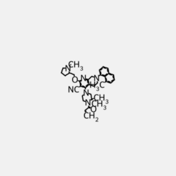 C=CC(=O)N1CCN(c2c(C#N)c(OCC3CCCN3C)nc3c2CCN(c2cccc4cccc(C)c24)C3)CC1(C)C